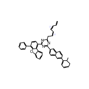 C=C/C=C\C=C/Cc1nc(-c2ccc3cc(C4=CC=CCC4C)ccc3c2)nc(-c2ccc(-c3ccccc3)c3oc4ccccc4c23)n1